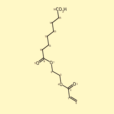 C=CC(=O)OCCOC(=O)CCCCCCC(=O)O